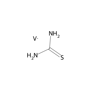 NC(N)=S.[V]